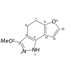 COc1n[nH]c2c1CCc1occc1-2